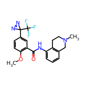 COc1ccc(C2(C(F)(F)F)N=N2)cc1C(=O)Nc1cccc2c1CCN(C)C2